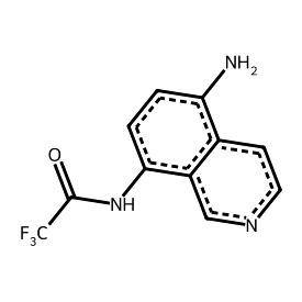 Nc1ccc(NC(=O)C(F)(F)F)c2cnccc12